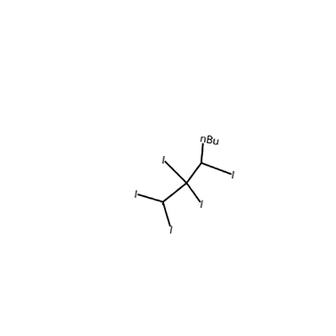 CCCCC(I)C(I)(I)[C](I)I